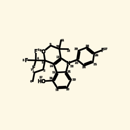 CCCC1(C(F)(F)F)OCC(C)(C)c2c1c1c(O)cccc1n2-c1ccc(F)cc1